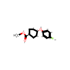 COC(=O)[C@H]1CC[C@H](Oc2ccc(F)cc2)CC1